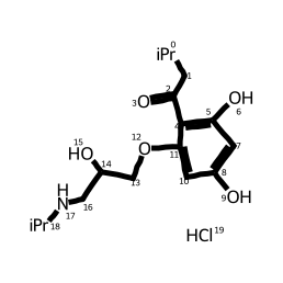 CC(C)CC(=O)c1c(O)cc(O)cc1OCC(O)CNC(C)C.Cl